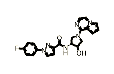 O=C(N[C@@H]1CN(c2nccn3cccc23)CC1O)c1ccn(-c2ccc(F)cc2)n1